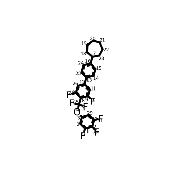 Fc1cc(OC(F)(F)c2c(F)cc(-c3ccc(C4CCCCCC4)cc3)cc2F)cc(F)c1F